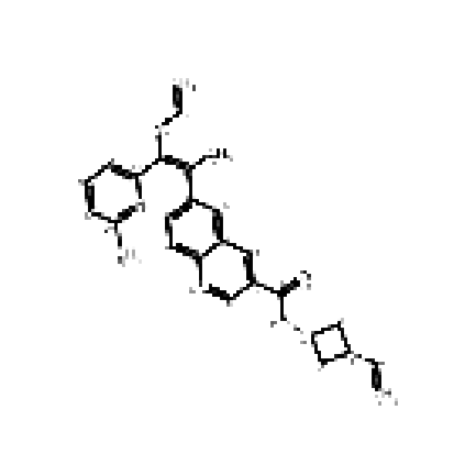 C=CN/C(=C(\C)c1ccc2ncc(C(=O)O[C@H]3C[C@H](C=C)C3)cc2c1)c1cccc(C)n1